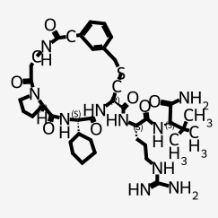 CC(C)(C)[C@H](NC(=O)[C@H](CCCNC(=N)N)NC(=O)[C@@H]1CSCc2cccc(c2)CC(=O)NCCC(=O)N2CCC[C@H]2C(=O)N[C@@H](C2CCCCC2)C(=O)N1)C(N)=O